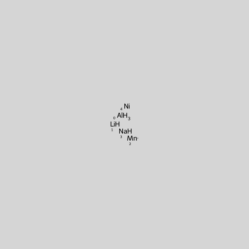 [AlH3].[LiH].[Mn].[NaH].[Ni]